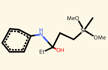 CCC(O)(CC[Si](C)(OC)OC)Nc1ccccc1